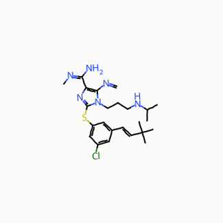 C=Nc1c(/C(N)=N\C)nc(Sc2cc(Cl)cc(/C=C/C(C)(C)C)c2)n1CCCNC(C)C